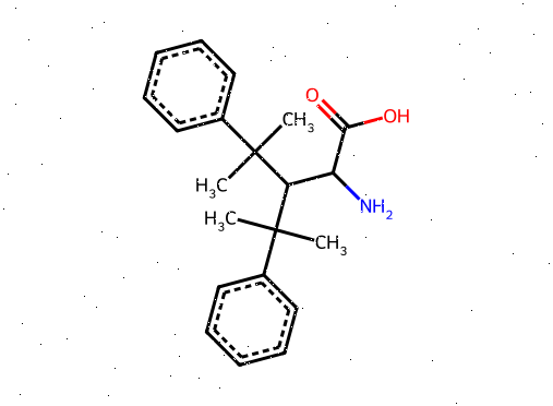 CC(C)(c1ccccc1)C(C(N)C(=O)O)C(C)(C)c1ccccc1